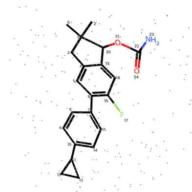 CC1(C)Cc2cc(-c3ccc(C4CC4)cc3)c(F)cc2C1OC(N)=O